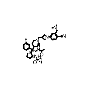 COC(=O)N[C@H]1CCC[C@@H]1[C@](CNC(C)=O)(c1cccc(F)c1)C1CCN(CC2CN(c3ccc(C#N)c(CN(C)C)c3)C2)CC1